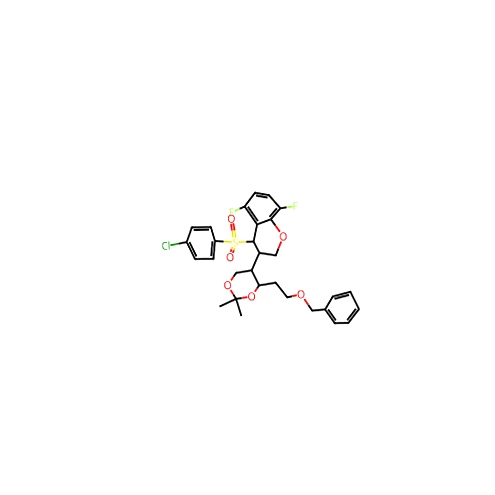 CC1(C)OCC(C2COc3c(F)ccc(F)c3C2S(=O)(=O)c2ccc(Cl)cc2)C(CCOCc2ccccc2)O1